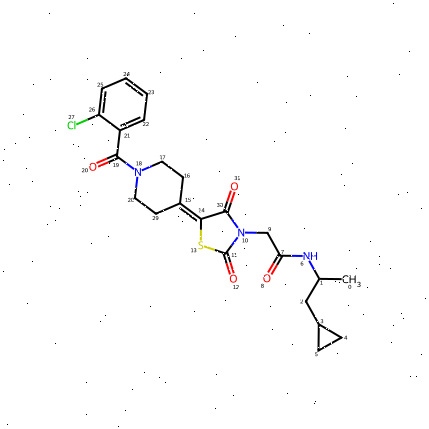 CC(CC1CC1)NC(=O)CN1C(=O)SC(=C2CCN(C(=O)c3ccccc3Cl)CC2)C1=O